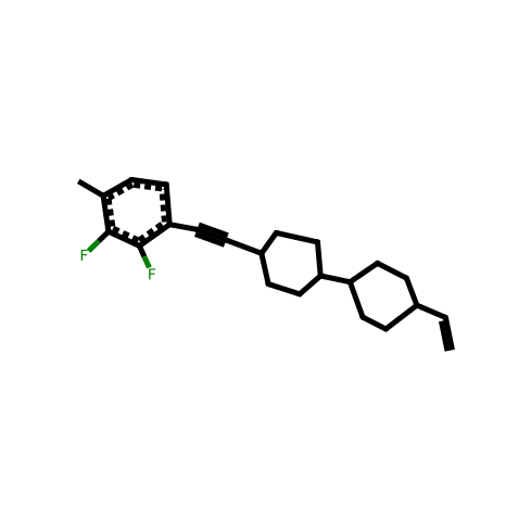 C=CC1CCC(C2CCC(C#Cc3ccc(C)c(F)c3F)CC2)CC1